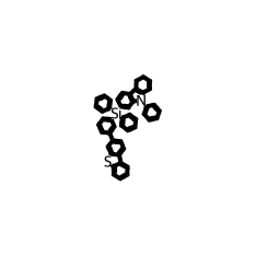 C1=Cc2c(c3ccc([Si](c4ccccc4)(c4ccccc4)c4cccc(-c5ccc6c(c5)sc5ccccc56)c4)cc3n2-c2ccccc2)CC1